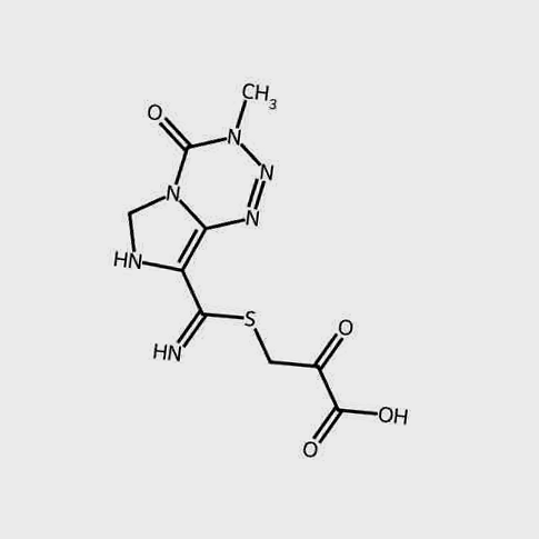 CN1N=NC2=C(C(=N)SCC(=O)C(=O)O)NCN2C1=O